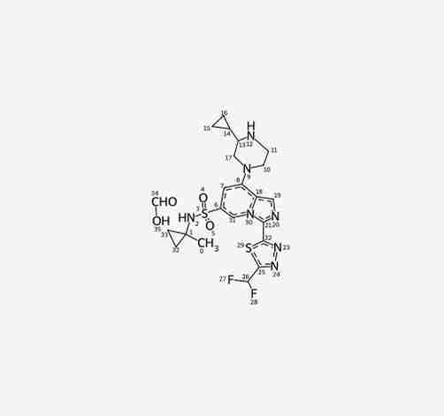 CC1(NS(=O)(=O)c2cc(N3CCNC(C4CC4)C3)c3cnc(-c4nnc(C(F)F)s4)n3c2)CC1.O=CO